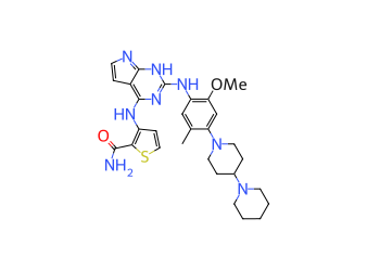 COc1cc(N2CCC(N3CCCCC3)CC2)c(C)cc1Nc1nc(Nc2ccsc2C(N)=O)c2ccnc-2[nH]1